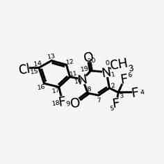 Cn1c(C(F)(F)F)cc(=O)n(-c2ccc(Cl)cc2F)c1=O